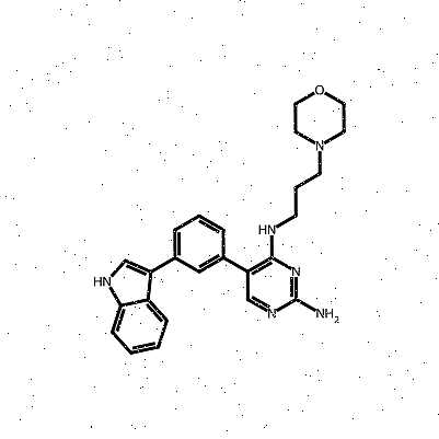 Nc1ncc(-c2cccc(-c3c[nH]c4ccccc34)c2)c(NCCCN2CCOCC2)n1